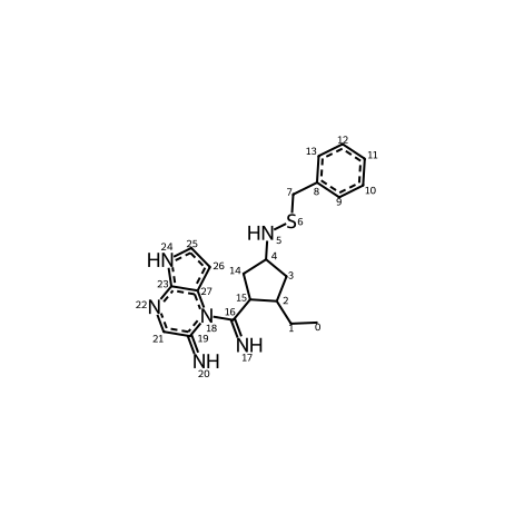 CCC1CC(NSCc2ccccc2)CC1C(=N)n1c(=N)cnc2[nH]ccc21